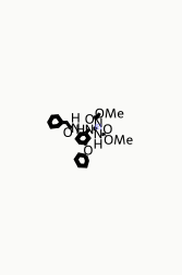 COC(=O)/N=C(/NC(=O)OC)Nc1cc(Oc2ccccc2)ccc1NC(=O)Cc1ccccc1